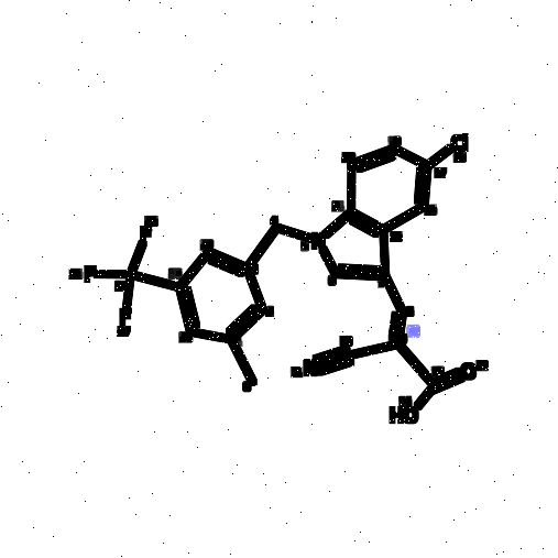 Cc1cc(Cn2cc(/C=C(\C#N)C(=O)O)c3cc(Cl)ccc32)cc(C(F)(F)F)c1